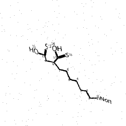 CCCCCCCCCCCCCCCCC(CC(O)=S)C(O)=S